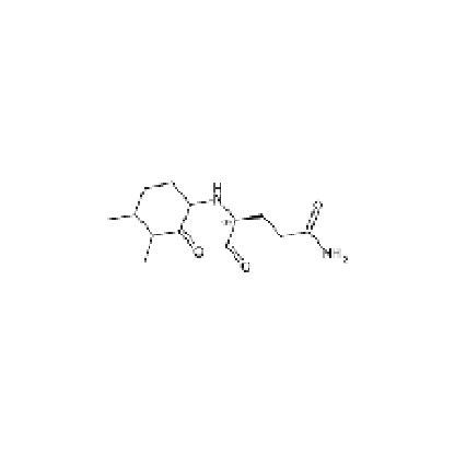 CC1CCC(N[C@H](C=O)CCC(N)=O)C(=O)C1C